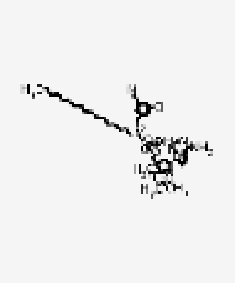 CCCCCCCCCCCCCCCCC[C@H](COP(=O)(O)OC[C@@]1(C)C[C@@H](c2ccc3c(N)ncnn23)[C@@H]2OC(C)(C)O[C@@H]21)OCc1cc(Cl)cc(C#N)c1